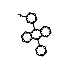 Clc1cccc(-c2c3ccccc3c(-c3ccccc3)c3ccccc23)c1